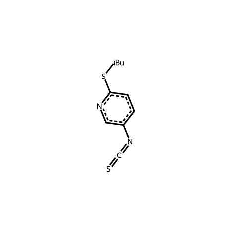 CCC(C)Sc1ccc(N=C=S)cn1